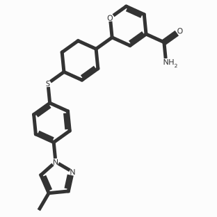 Cc1cnn(-c2ccc(SC3C=CC(C4C=C(C(N)=O)C=CO4)CC3)cc2)c1